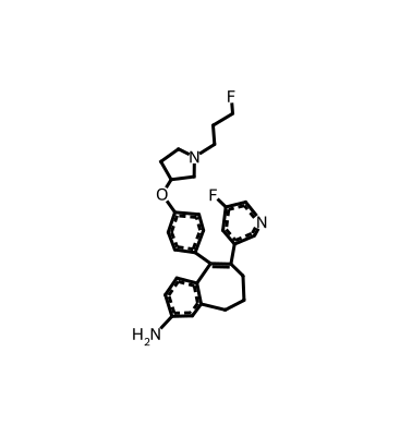 Nc1ccc2c(c1)CCCC(c1cncc(F)c1)=C2c1ccc(OC2CCN(CCCF)C2)cc1